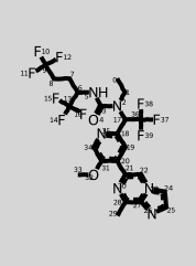 CCN(C(=O)NC(CCC(F)(F)F)C(F)(F)F)C(c1cc(-c2cn3ccnc3c(C)n2)c(OC)cn1)C(F)(F)F